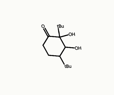 CC(C)(C)C1CCC(=O)C(O)(C(C)(C)C)C1O